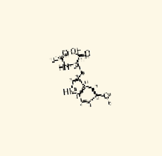 COc1ccc2[nH]cc(CC(NC(C)=O)C(=O)O)c2c1